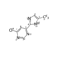 FC(F)(F)c1cnc(-c2cc(Cl)ncn2)[nH]1